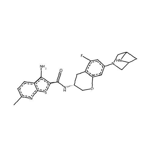 Cc1ccc2c(N)c(C(=O)N[C@H]3COc4cc(N5CC6CC(C5)N6)cc(F)c4C3)sc2n1